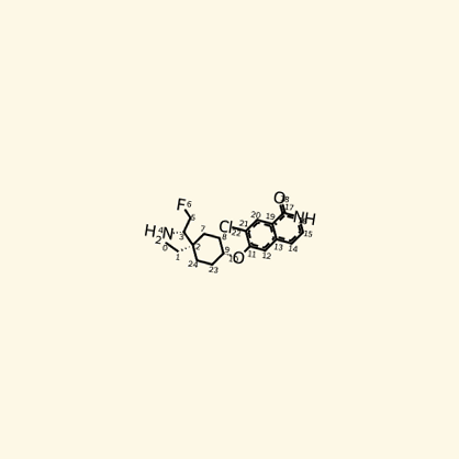 CC[C@]1([C@H](N)CF)CC[C@H](Oc2cc3cc[nH]c(=O)c3cc2Cl)CC1